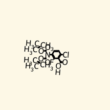 CC(C)(C)OC(=O)N(C(=O)OC(C)(C)C)c1ccc(Cl)c(C(=O)O)c1F